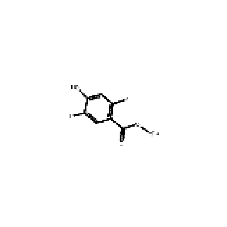 CC(C)(C)OC(=O)c1cc(F)c(O)cc1F